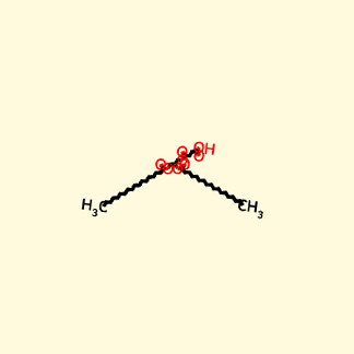 CCCCCCCCCCCCCCCCCC(=O)OCC(COC(=O)CCC(=O)O)OC(=O)CCCCCCCCCCCCCCCCC